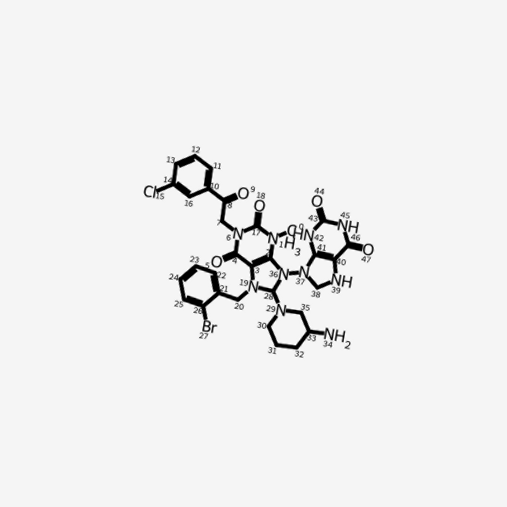 Cn1c2c(c(=O)n(CC(=O)c3cccc(Cl)c3)c1=O)N(Cc1ccccc1Br)C(N1CCCC(N)C1)N2N1CNc2c1[nH]c(=O)[nH]c2=O